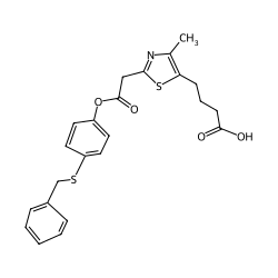 Cc1nc(CC(=O)Oc2ccc(SCc3ccccc3)cc2)sc1CCCC(=O)O